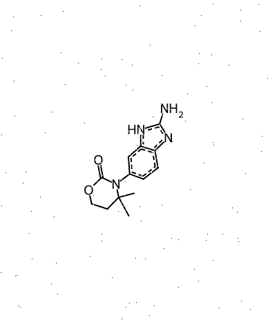 CC1(C)CCOC(=O)N1c1ccc2nc(N)[nH]c2c1